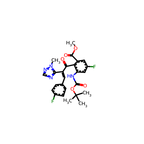 COC(=O)c1cc(F)cc(NC(=O)OC(C)(C)C)c1C(=O)/C(=C/c1ccc(F)cc1)c1ncnn1C